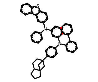 c1ccc(-c2ccccc2N(c2ccc(C34CCC5CCCC5(C3)C4)cc2)c2cccc(N(c3ccccc3)c3ccc4sc5ccccc5c4c3)c2)cc1